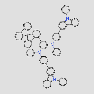 c1ccc(N(c2ccc(-c3ccc4c(c3)c3ccccc3n4-c3ccccc3)cc2)c2cc(-c3cccc4c3-c3ccccc3C43c4ccccc4-c4ccccc43)cc(N(c3ccccc3)c3ccc(-c4ccc5c(c4)c4ccccc4n5-c4ccccc4)cc3)c2)cc1